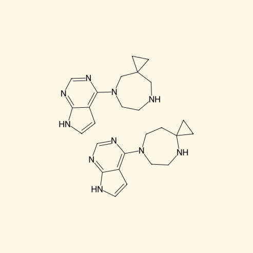 c1nc(N2CCNC3(CC2)CC3)c2cc[nH]c2n1.c1nc(N2CCNCC3(CC3)C2)c2cc[nH]c2n1